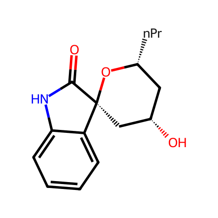 CCC[C@@H]1C[C@H](O)C[C@@]2(O1)C(=O)Nc1ccccc12